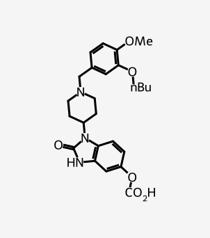 CCCCOc1cc(CN2CCC(n3c(=O)[nH]c4cc(OC(=O)O)ccc43)CC2)ccc1OC